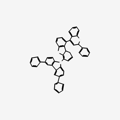 C1=CC(n2c3ccc(-c4ccccc4)cc3c3cc(-c4ccccc4)ccc32)=C2Oc3cccc(C4=CC(c5ccccc5)Nc5ccccc54)c3C2C1